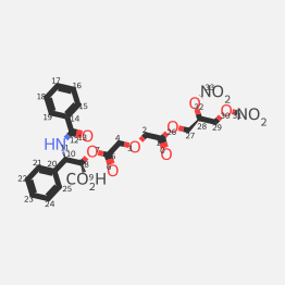 O=C(COCC(=O)O[C@@H](C(=O)O)[C@@H](NC(=O)c1ccccc1)c1ccccc1)OC[C@H](CO[N+](=O)[O-])O[N+](=O)[O-]